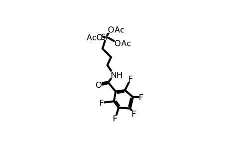 CC(=O)O[Si](CCCNC(=O)c1c(F)c(F)c(F)c(F)c1F)(OC(C)=O)OC(C)=O